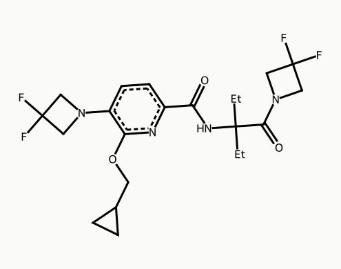 CCC(CC)(NC(=O)c1ccc(N2CC(F)(F)C2)c(OCC2CC2)n1)C(=O)N1CC(F)(F)C1